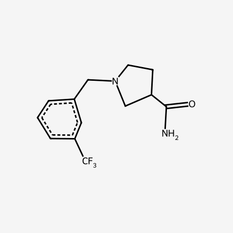 NC(=O)C1CCN(Cc2cccc(C(F)(F)F)c2)C1